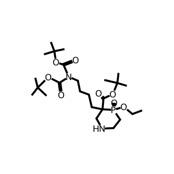 CCOP1(=O)CCNCC1(CCCCN(C(=O)OC(C)(C)C)C(=O)OC(C)(C)C)C(=O)OC(C)(C)C